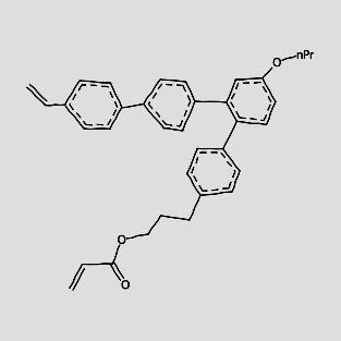 C=CC(=O)OCCCc1ccc(-c2ccc(OCCC)cc2-c2ccc(-c3ccc(C=C)cc3)cc2)cc1